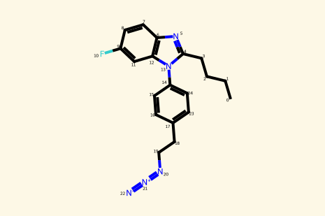 CCCCc1nc2ccc(F)cc2n1-c1ccc(CCN=[N+]=[N-])cc1